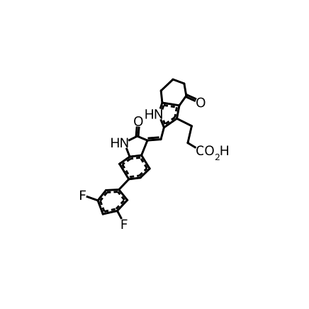 O=C(O)CCc1c(C=C2C(=O)Nc3cc(-c4cc(F)cc(F)c4)ccc32)[nH]c2c1C(=O)CCC2